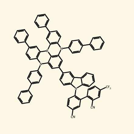 N#Cc1ccc(-n2c3ccccc3c3cc(-c4cc5c6c(c4)N(c4ccc(-c7ccccc7)cc4)c4ccc(-c7ccccc7)cc4B6c4cc(-c6ccccc6)ccc4N5c4ccc(-c5ccccc5)cc4)ccc32)c(-c2ccc(C(F)(F)F)cc2C#N)c1